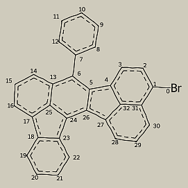 Brc1ccc2c3c(-c4ccccc4)c4cccc5c6ccccc6c(c45)c3c3cccc1c23